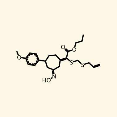 C=CCSCS/C(C(=O)OCCC)=C1/CCC(c2ccc(OC)cc2)C/C(=N\O)C1